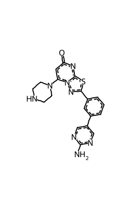 Nc1ncc(-c2cccc(-c3nn4c(N5CCNCC5)cc(=O)nc4s3)c2)cn1